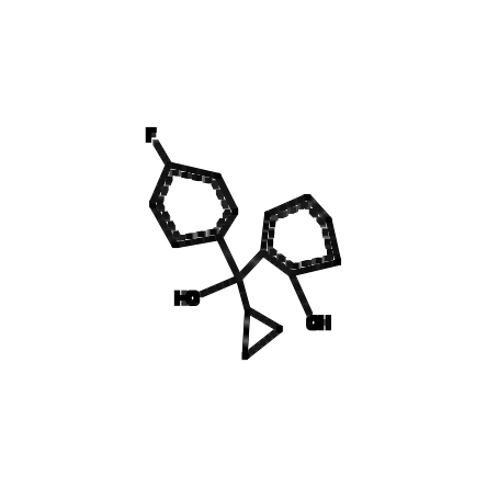 Oc1ccccc1C(O)(c1ccc(F)cc1)C1CC1